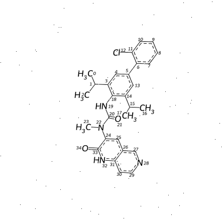 CC(C)c1cc(-c2ccccc2Cl)cc(C(C)C)c1NC(=O)N(C)c1cc2cnccc2[nH]c1=O